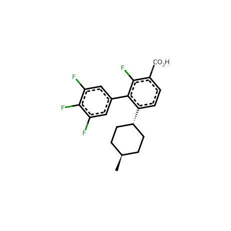 C[C@H]1CC[C@H](c2ccc(C(=O)O)c(F)c2-c2cc(F)c(F)c(F)c2)CC1